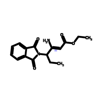 CCOC(=O)/C=C(\N)C(CC)N1C(=O)c2ccccc2C1=O